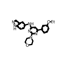 CCOc1cccc(-c2cc(Nc3ccc4[nH]ncc4c3)nc(N3CCOCC3)n2)c1